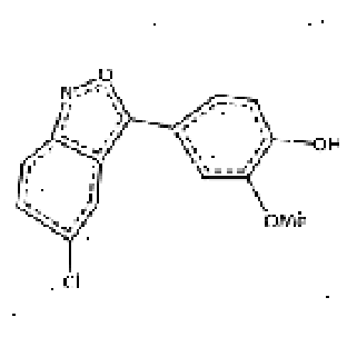 COc1cc(-c2onc3ccc(Cl)cc23)ccc1O